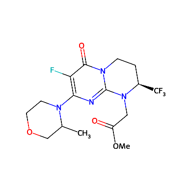 COC(=O)CN1c2nc(N3CCOCC3C)c(F)c(=O)n2CC[C@H]1C(F)(F)F